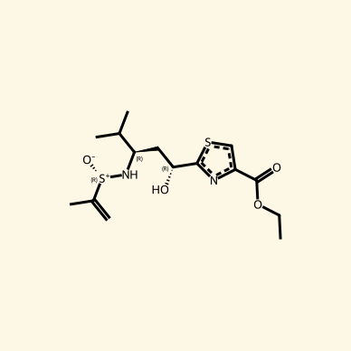 C=C(C)[S@+]([O-])N[C@H](C[C@@H](O)c1nc(C(=O)OCC)cs1)C(C)C